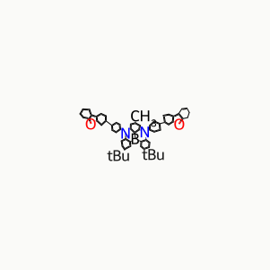 Cc1cc2c3c(c1)N(c1ccc(-c4ccc5c(c4)oc4ccccc45)cc1)c1ccc(C(C)(C)C)cc1B3c1cc(C(C)(C)C)ccc1N2c1ccc(-c2ccc3c4c(oc3c2)CCC=C4)cc1